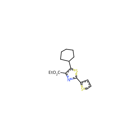 CCOC(=O)c1nc(-c2cccs2)sc1C1CCCCC1